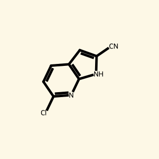 N#Cc1cc2ccc(Cl)nc2[nH]1